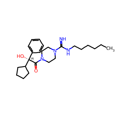 CCCCCCNC(=N)N1CCN(C(=O)[C@](O)(c2ccccc2)C2CCCC2)CC1